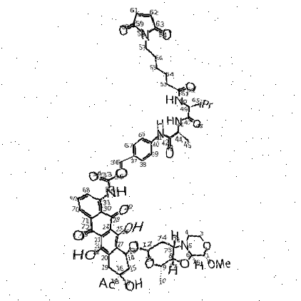 CO[C@H]1OCCN2[C@@H]1O[C@@H]1[C@H](C)O[C@@H](O[C@H]3C[C@](O)(C(C)=O)Cc4c(O)c5c(c(O)c43)C(=O)c3c(NC(=O)OCc4ccc(NC(=O)[C@H](C)NC(=O)[C@@H](NC(=O)CCCCCN6C(=O)C=CC6=O)C(C)C)cc4)cccc3C5=O)C[C@@H]12